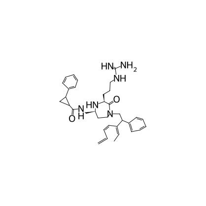 C=C/C=C\C(=C/C)C(CN1CC[C@@H](CNC(=O)C2CC2c2ccccc2)N[C@@H](CCCNC(=N)N)C1=O)c1ccccc1